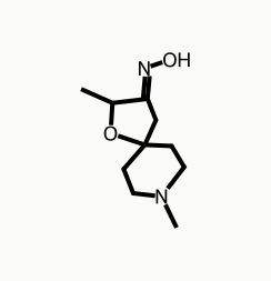 CC1OC2(CCN(C)CC2)CC1=NO